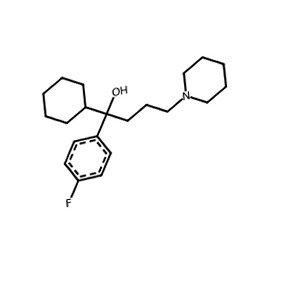 OC(CCCN1CCCCC1)(c1ccc(F)cc1)C1CCCCC1